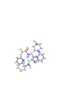 CC(C)C(=O)NCc1c(CN(C)[C@H]2CCCc3cccnc32)nc2cccc(N3CCN(C)CC3)n12